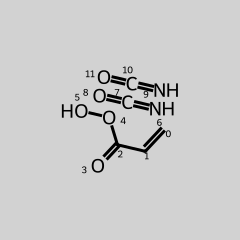 C=CC(=O)OO.N=C=O.N=C=O